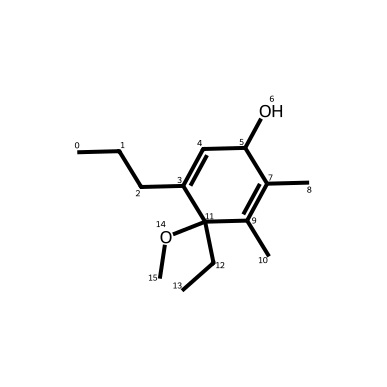 CCCC1=CC(O)C(C)=C(C)C1(CC)OC